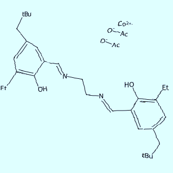 CC(=O)[O-].CC(=O)[O-].CCc1cc(CC(C)(C)C)cc(C=NCCN=Cc2cc(CC(C)(C)C)cc(CC)c2O)c1O.[Co+2]